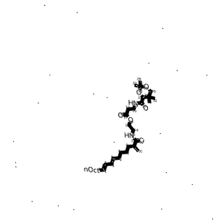 CCCCCCCCC=CCCCCCCC(C)C(=O)NCCOC(=O)CCNC(=O)C1OC(C)(C)OCC1(C)C